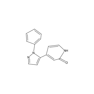 O=c1cc(-c2ccnn2-c2ccccc2)cc[nH]1